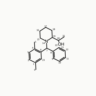 Cc1ccc(C)c(C(c2ccccc2)N2CCCCC2C(C)O)c1